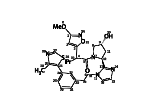 COc1cc(C(C(=O)N2C[C@H](O)C[C@H]2c2nccn2CCc2cccc(-c3scnc3C)c2)C(C)C)on1